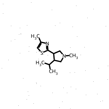 Cc1csc(C2CN(C)CC2C(C)C)n1